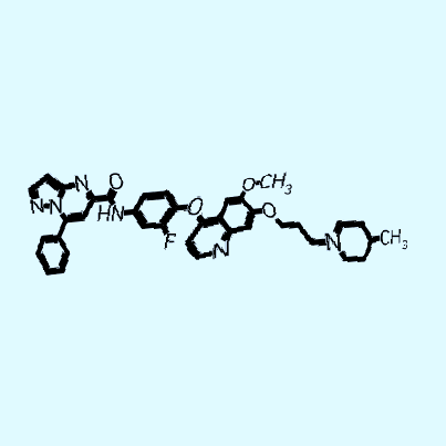 COc1cc2c(Oc3ccc(NC(=O)c4cc(-c5ccccc5)n5nccc5n4)cc3F)ccnc2cc1OCCCN1CCC(C)CC1